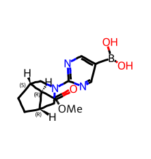 COC(=O)[C@@H]1[C@@H]2CC[C@H]1CN(c1ncc(B(O)O)cn1)C2